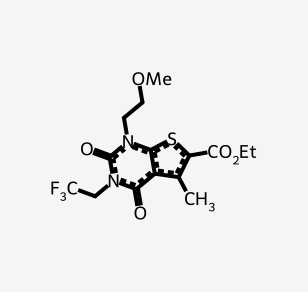 CCOC(=O)c1sc2c(c1C)c(=O)n(CC(F)(F)F)c(=O)n2CCOC